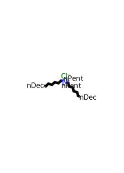 CCCCCCCCCCCCCCCC[N+](CCCCC)(CCCCC)CCCCCCCCCCCCCCCC.[Cl-]